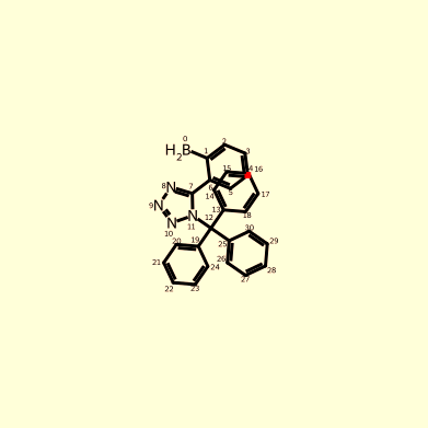 Bc1ccccc1-c1nnnn1C(c1ccccc1)(c1ccccc1)c1ccccc1